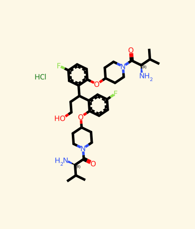 CC(C)[C@@H](N)C(=O)N1CCC(Oc2ccc(F)cc2C(CCO)c2cc(F)ccc2OC2CCN(C(=O)[C@H](N)C(C)C)CC2)CC1.Cl